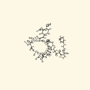 CCC(C)(C)C(=O)C(=O)N1CCCC1C(=O)OCCCc1cccnc1.CC[C@@H]1/C=C(\C)C[C@H](C)C[C@H](OC)[C@H]2O[C@@](O)(C(=O)C(=O)N3CCCC[C@H]3C(=O)O[C@H](/C(C)=C/[C@@H]3CC[C@@H](O)[C@H](OC)C3)[C@H](C)[C@@H](O)CC1=O)[C@H](C)C[C@@H]2OC